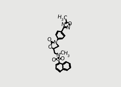 Cc1nc(-c2ccc(N3CC(CN(C)S(=O)(=O)c4cccc5ccccc45)OC3=O)cc2)no1